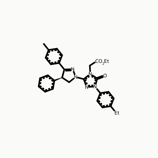 CCOC(=O)Cn1c(N2C[C@@H](c3ccccc3)C(c3ccc(C)cc3)=N2)nn(-c2ccc(CC)cc2)c1=O